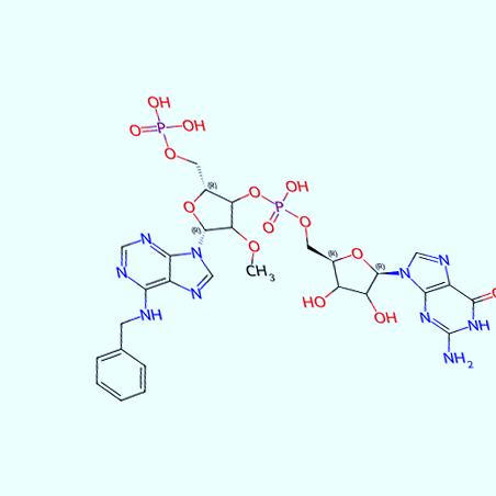 COC1C(OP(=O)(O)OC[C@H]2O[C@@H](n3cnc4c(=O)[nH]c(N)nc43)C(O)C2O)[C@@H](COP(=O)(O)O)O[C@H]1n1cnc2c(NCc3ccccc3)ncnc21